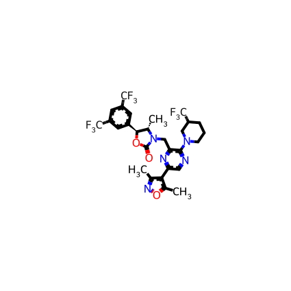 Cc1noc(C)c1-c1cnc(N2CCCC(C(F)(F)F)C2)c(CN2C(=O)O[C@@H](c3cc(C(F)(F)F)cc(C(F)(F)F)c3)[C@@H]2C)n1